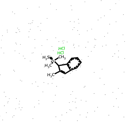 CC1=Cc2ccccc2[CH]1[Zr]([CH3])([CH3])=[SiH2].Cl.Cl